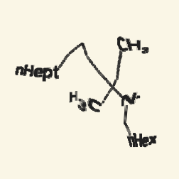 CCCCCCCCC(C)(C)[N]CCCCCC